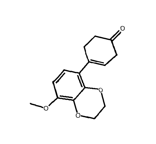 COc1ccc(C2=CCC(=O)CC2)c2c1OCCO2